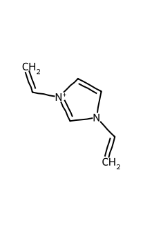 C=Cn1cc[n+](C=C)c1